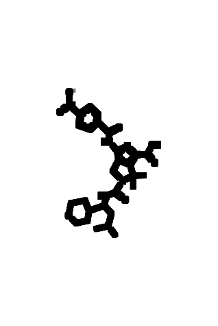 CN(C)CC(NC(=O)N1Cc2c(NC(=O)c3ccc([N+](=O)[O-])cc3)nn(C(=O)O)c2C1(C)C)C1CCOCC1